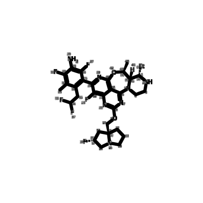 CC[C@@H]1NCCN2c3nc(OC[C@@]45CCCN4C[C@H](F)C5)nc4c(F)c(-c5c(F)c(N)c(F)c(C)c5CC(F)F)nc(c34)O[C@@H](C)[C@H]12